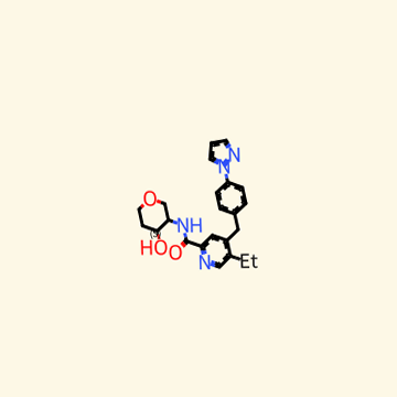 CCc1cnc(C(=O)NC2COCC[C@@H]2O)cc1Cc1ccc(-n2cccn2)cc1